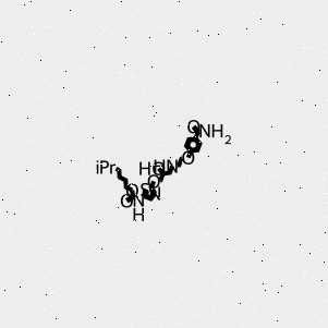 CC(C)CCCCOC(=O)Nc1cnc(OCC(O)CNCCOc2ccc(C(N)=O)cc2)s1